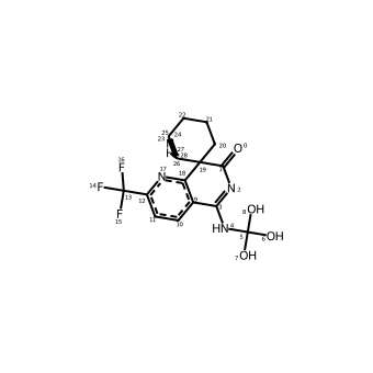 O=C1N=C(NC(O)(O)O)c2ccc(C(F)(F)F)nc2C12CCCC1NC=CC=C12